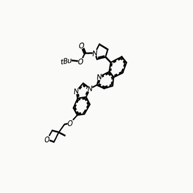 CC1(COc2ccc3c(c2)ncn3-c2ccc3cccc(C4=CN(C(=O)OC(C)(C)C)CC4)c3n2)COC1